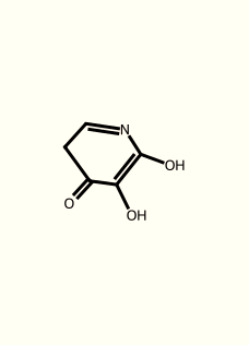 O=C1CC=NC(O)=C1O